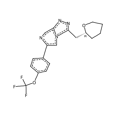 FC(F)(F)Oc1ccc(-c2cn3c(C[C@H]4CCCCO4)nnc3cn2)cc1